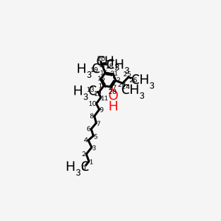 CCCCCCCCCCCCC(C)c1cc(C(C)(C)C)cc(C(C)CC)c1O